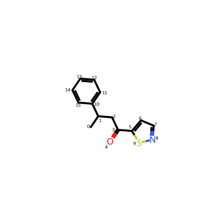 CC(CC(=O)c1ccns1)c1ccccc1